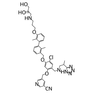 Cc1c(COc2cc(OCc3cncc(C#N)c3)c(CN(C)CC(C)c3nnn[nH]3)cc2Cl)cccc1-c1cccc(OCCCNC[C@H](O)CO)c1C